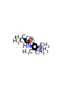 Cc1cc(N(C)C)c(C)c(C)c1NC(=O)CC(C)(C)C